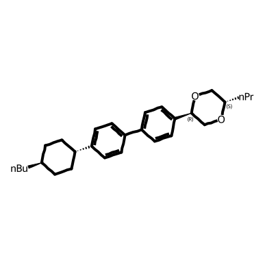 CCCC[C@H]1CC[C@H](c2ccc(-c3ccc([C@@H]4CO[C@@H](CCC)CO4)cc3)cc2)CC1